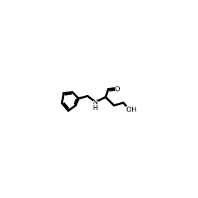 O=CC(CCO)NCc1ccccc1